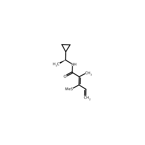 C=C/C(SC)=C(\C)C(=O)N[C@@H](C)C1CC1